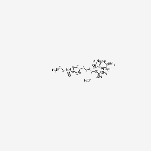 Cl.N=C(N)N(CCCCc1ccc(C(=O)NCCN)cc1)C(=O)c1nc(Cl)c(N)nc1N